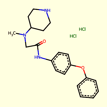 CN(CC(=O)Nc1ccc(Oc2ccccc2)cc1)C1CCNCC1.Cl.Cl